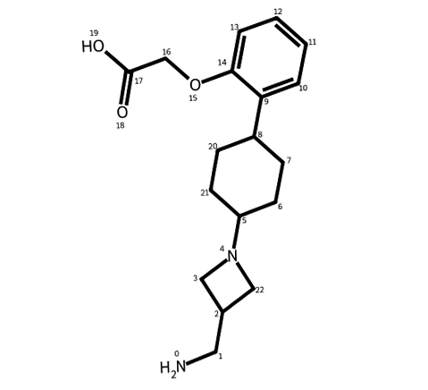 NCC1CN(C2CCC(c3ccccc3OCC(=O)O)CC2)C1